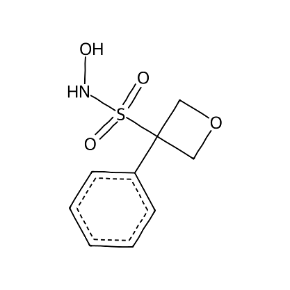 O=S(=O)(NO)C1(c2ccccc2)COC1